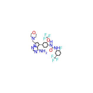 Nc1ncnn2c(CN3CCOCC3)cc(-c3ccc(NC(=O)Nc4cc(C(F)(F)F)ccc4F)c(OC(F)(F)F)c3)c12